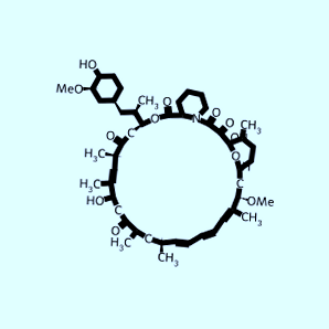 CO[C@H]1C[C@@H]2CCC(C)C(O)(O2)C(=O)C(=O)N2CCCCC2C(=O)O[C@H]([C@H](C)C[C@@H]2CCC(O)[C@H](OC)C2)CC(=O)[C@H](C)/C=C(\C)C(O)CC(=O)C(C)C[C@H](C)/C=C/C=C/C=C/1C